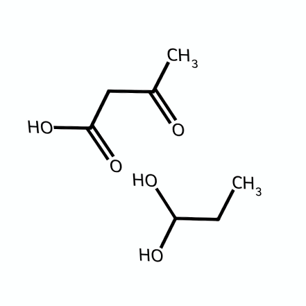 CC(=O)CC(=O)O.CCC(O)O